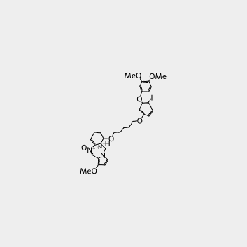 COc1ccc(Oc2cc(OCCCCCOC3CCC=C4[C@@H]3Cn3ccc(OC)c3C=[N+]4[O-])ccc2I)cc1OC